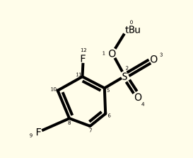 CC(C)(C)OS(=O)(=O)c1ccc(F)cc1F